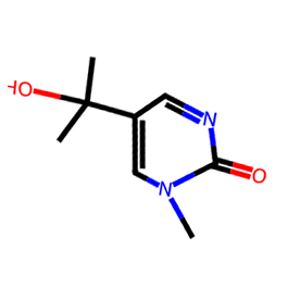 Cn1cc(C(C)(C)O)cnc1=O